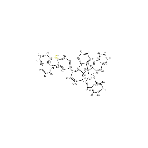 c1ccc2c(c1)-c1c(-c3ccc4c(c3)-c3cccc5cccc(c35)S4)cccc1C21c2cc3ccccc3cc2-c2c1ccc1ccccc21